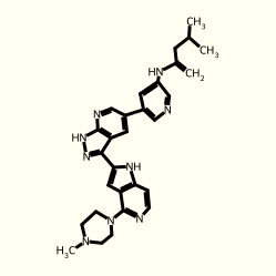 C=C(CC(C)C)Nc1cncc(-c2cnc3[nH]nc(-c4cc5c(N6CCN(C)CC6)nccc5[nH]4)c3c2)c1